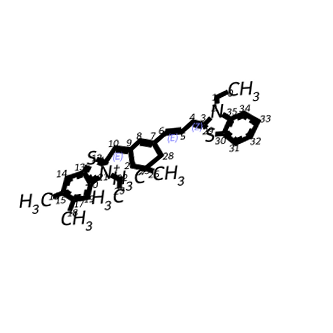 CCN1/C(=C/C=C/C2=CC(=C/c3sc4cc(C)c(C)cc4[n+]3CC)/CC(C)(C)C2)Sc2ccccc21